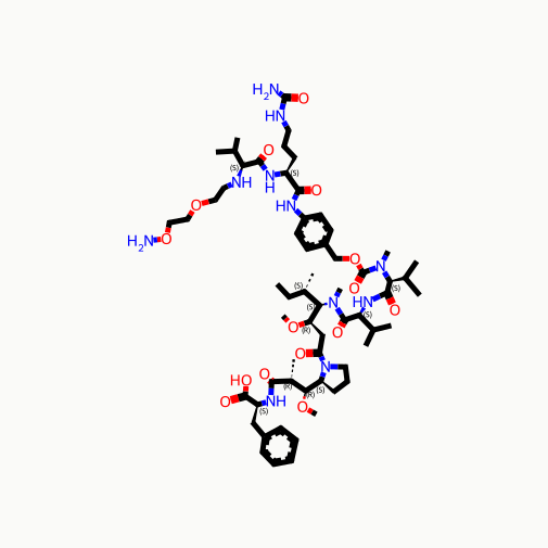 CC[C@H](C)[C@@H]([C@@H](CC(=O)N1CCC[C@H]1[C@H](OC)[C@@H](C)C(=O)N[C@@H](Cc1ccccc1)C(=O)O)OC)N(C)C(=O)[C@@H](NC(=O)[C@H](C(C)C)N(C)C(=O)OCc1ccc(NC(=O)[C@H](CCCNC(N)=O)NC(=O)[C@@H](NCCOCCON)C(C)C)cc1)C(C)C